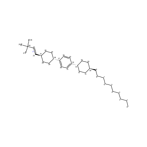 CCCCCCCCCC[C@H]1CC[C@H](c2ccc([C@H]3CC[C@H](/C=C/C(F)(F)F)CC3)cc2)CC1